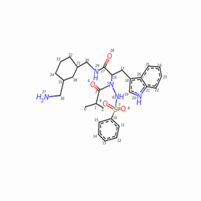 CC(C)C(=O)N(NS(=O)(=O)c1ccccc1)C(Cc1c[nH]c2ccccc12)C(=O)NCC1CCCC(CN)C1